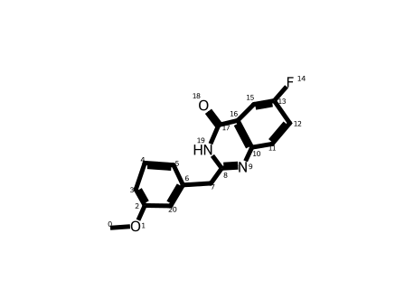 COc1cccc(Cc2nc3ccc(F)cc3c(=O)[nH]2)c1